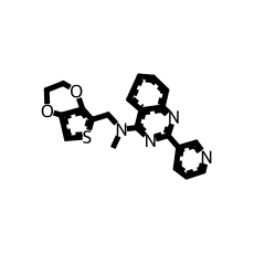 CN(Cc1scc2c1OCCO2)c1nc(-c2cccnc2)nc2ccccc12